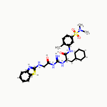 Cc1ccc(S(=O)(=O)N(C)C)cc1NC(=O)[C@@H](CC1CCCCC1)NC(=N)NC(=O)CNc1nc2ccccc2s1